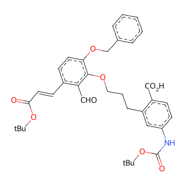 CC(C)(C)OC(=O)C=Cc1ccc(OCc2ccccc2)c(OCCCc2cc(NC(=O)OC(C)(C)C)ccc2C(=O)O)c1C=O